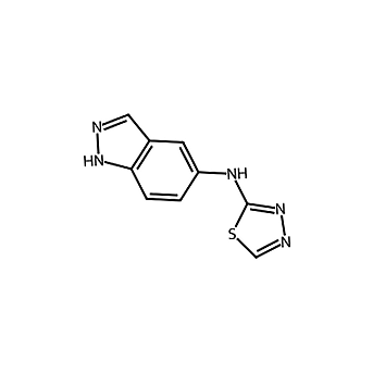 c1nnc(Nc2ccc3[nH]ncc3c2)s1